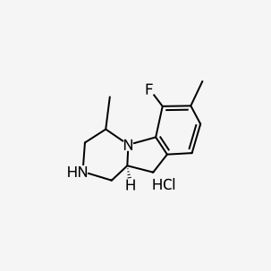 Cc1ccc2c(c1F)N1C(C)CNC[C@@H]1C2.Cl